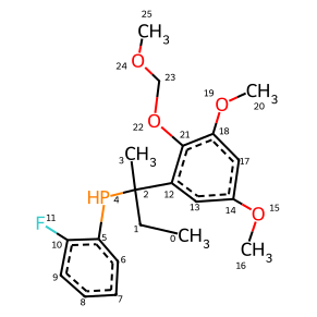 CCC(C)(Pc1ccccc1F)c1cc(OC)cc(OC)c1OCOC